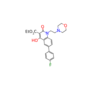 CCOC(=O)c1c(O)c2cc(-c3ccc(F)cc3)ccc2n(CCN2CCOCC2)c1=O